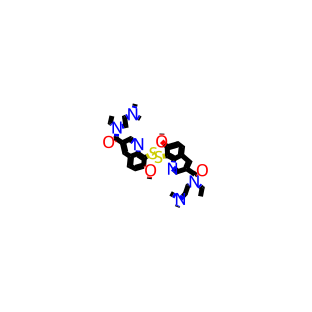 CCN(CCN(C)C)C(=O)c1cnc2c(SSc3c(OC)ccc4cc(C(=O)N(CC)CCN(C)C)cnc34)c(OC)ccc2c1